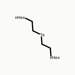 CCCCCCCC[Te]CCCCCCCC